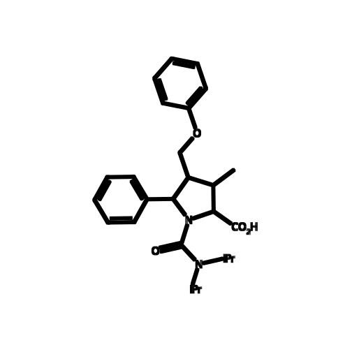 CC1C(COc2ccccc2)C(c2ccccc2)N(C(=O)N(C(C)C)C(C)C)C1C(=O)O